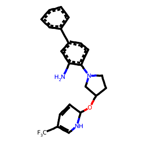 Nc1cc(-c2ccccc2)ccc1N1CCC(OC2C=CC(C(F)(F)F)=CN2)C1